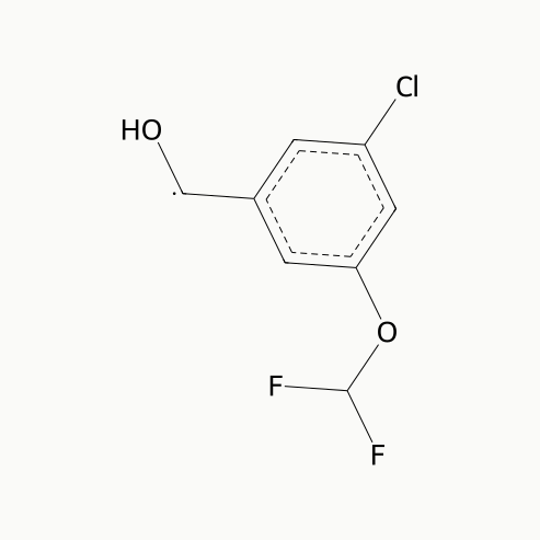 O[CH]c1cc(Cl)cc(OC(F)F)c1